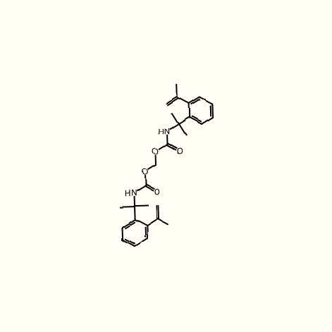 C=C(C)c1ccccc1C(C)(C)NC(=O)OCOC(=O)NC(C)(C)c1ccccc1C(=C)C